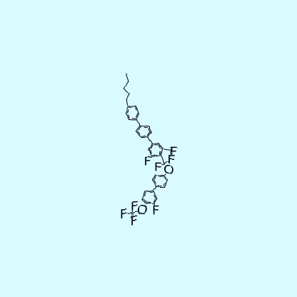 CCCCCc1ccc(-c2ccc(-c3cc(F)c(C(F)(F)Oc4ccc(-c5ccc(OC(F)(F)F)c(F)c5)cc4)c(F)c3)cc2)cc1